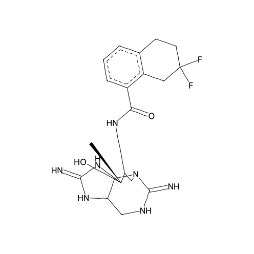 C[C@]1(O)C(NC(=O)c2cccc3c2CC(F)(F)CC3)CN2C(=N)NCC3NC(=N)NC321